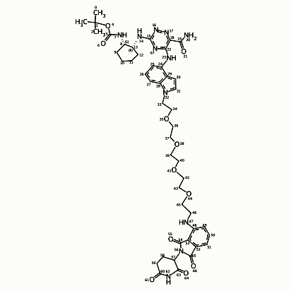 CC(C)(C)OC(=O)N[C@H]1CCCC[C@H]1Nc1nnc(C(N)=O)c(Nc2cccc3c2ccn3CCOCCOCCOCCOCCNc2cccc3c2C(=O)N(C2CCC(=O)NC2=O)C3=O)n1